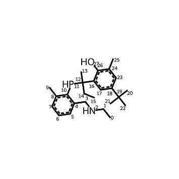 CCNCc1cccc(C)c1PC(C)(CC)c1cc(C(C)(C)C)cc(C)c1O